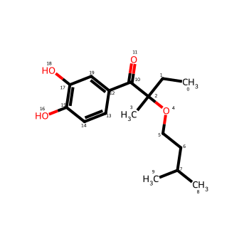 CCC(C)(OCCC(C)C)C(=O)c1ccc(O)c(O)c1